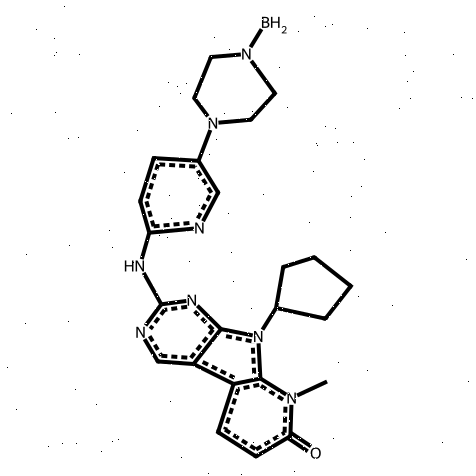 BN1CCN(c2ccc(Nc3ncc4c5ccc(=O)n(C)c5n(C5CCCC5)c4n3)nc2)CC1